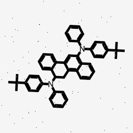 CC(C)(C)c1ccc(N(c2ccccc2)c2cc3c(c4ccccc24)CC(N(c2ccccc2)c2ccc(C(C)(C)C)cc2)c2ccccc2-3)cc1